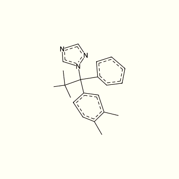 Cc1ccc(C(c2ccccc2)(n2cncn2)C(C)(C)C)cc1C